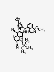 COc1nccc2c(C(Nc3cc(C#N)c4ncc(C#N)c(NCC(C)(C)C)c4c3)c3cn(C45CC(C4)C5)nn3)cccc12